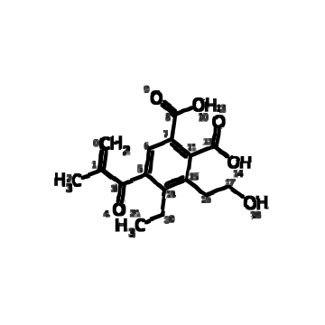 C=C(C)C(=O)c1cc(C(=O)O)c(C(=O)O)c(CCO)c1CC